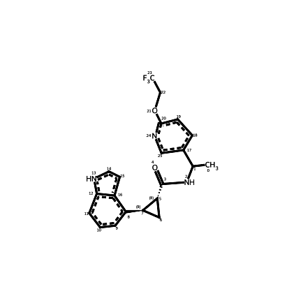 CC(NC(=O)[C@@H]1C[C@H]1c1cccc2[nH]ccc12)c1ccc(OCC(F)(F)F)nc1